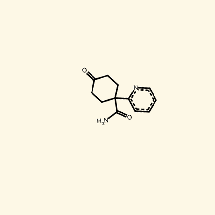 NC(=O)C1(c2ccccn2)CCC(=O)CC1